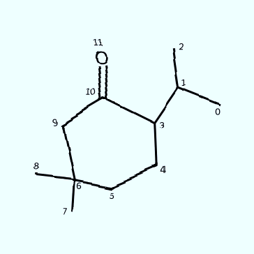 CC(C)C1CCC(C)(C)CC1=O